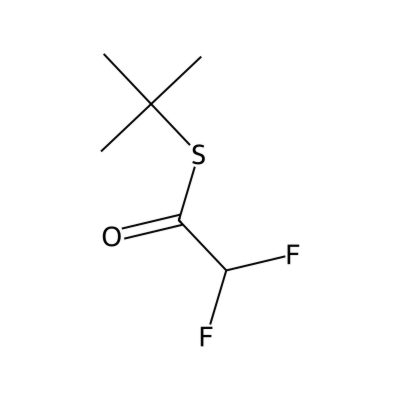 CC(C)(C)SC(=O)C(F)F